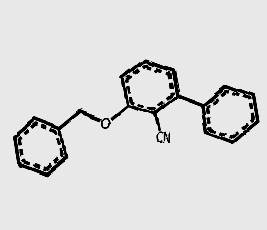 N#Cc1c(OCc2ccccc2)cccc1-c1ccccc1